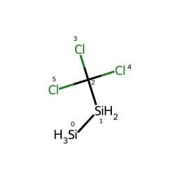 [SiH3][SiH2]C(Cl)(Cl)Cl